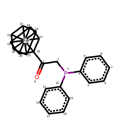 O=C(CP(c1ccccc1)c1ccccc1)[C]12[CH]3[CH]4[CH]5[CH]1[Fe]45321678[CH]2[CH]1[CH]6[CH]7[CH]28